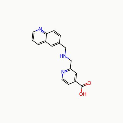 O=C(O)c1ccnc(CNCc2ccc3ncccc3c2)c1